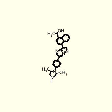 CC(O)c1ccc(-c2cnn3cc(-c4ccc(N5[C@H](C)CNC[C@@H]5C)cc4)cnc23)c2ccccc12